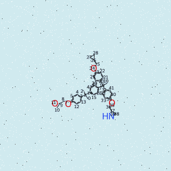 CC(C)(c1ccc(OCC2CO2)cc1)c1ccc(C(C)(c2ccc(OCC3CC3)cc2)c2ccc(OCC3CN3)cc2)cc1